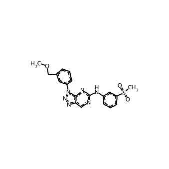 COCc1cccc(-n2nnc3cnc(Nc4cccc(S(C)(=O)=O)c4)nc32)c1